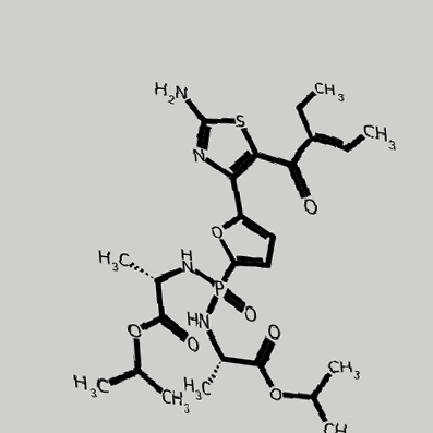 C/C=C(\CC)C(=O)c1sc(N)nc1-c1ccc(P(=O)(N[C@@H](C)C(=O)OC(C)C)N[C@@H](C)C(=O)OC(C)C)o1